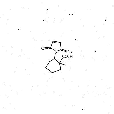 CC1(C(=O)O)CCCCC1N1C(=O)C=CC1=O